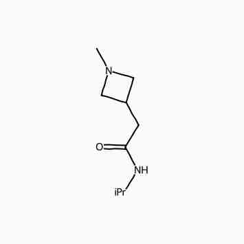 CC(C)NC(=O)CC1CN(C)C1